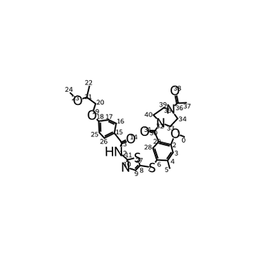 COc1cc(C)c(Sc2cnc(NC(=O)c3ccc(OCC(C)OC)cc3)s2)cc1C(=O)N1CCN(C(C)=O)CC1